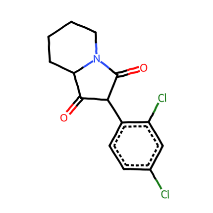 O=C1C(c2ccc(Cl)cc2Cl)C(=O)N2CCCCC12